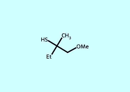 CCC(C)(S)COC